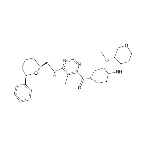 CO[C@@H]1COCC[C@@H]1NC1CCN(C(=O)c2ncnc(NC[C@@H]3CCC[C@H](c4ccccc4)O3)c2C)CC1